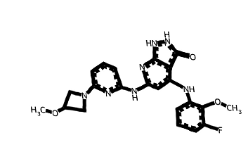 COc1c(F)cccc1Nc1cc(Nc2cccc(N3CC(OC)C3)n2)nc2[nH][nH]c(=O)c12